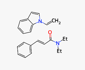 C=Cn1ccc2ccccc21.CCN(CC)C(=O)C=Cc1ccccc1